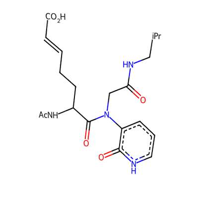 CC(=O)NC(CCC=CC(=O)O)C(=O)N(CC(=O)NCC(C)C)c1ccc[nH]c1=O